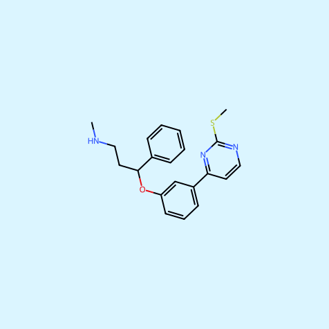 CNCCC(Oc1cccc(-c2ccnc(SC)n2)c1)c1ccccc1